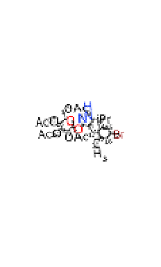 CC(=O)OC[C@H]1O[C@@H](Oc2n[nH]c(C(C)C)c2Cc2ccc(Br)cc2C)[C@H](OC(C)=O)[C@@H](OC(C)=O)[C@@H]1OC(C)=O